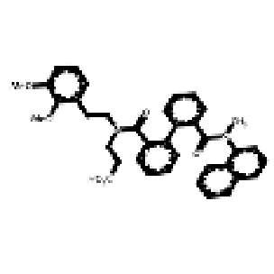 COc1cccc(CCN(CCC(=O)O)C(=O)c2ccccc2-c2ccccc2C(=O)N(C)c2cccc3ccccc23)c1OC